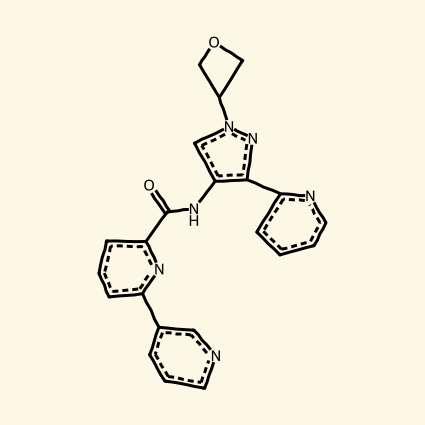 O=C(Nc1cn(C2COC2)nc1-c1ccccn1)c1cccc(-c2cccnc2)n1